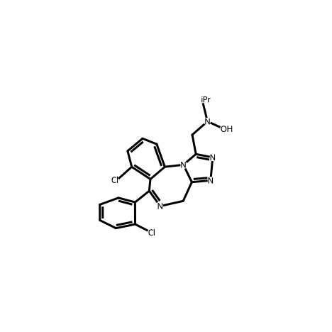 CC(C)N(O)Cc1nnc2n1-c1cccc(Cl)c1C(c1ccccc1Cl)=NC2